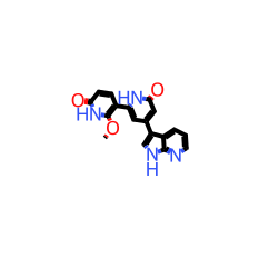 COc1[nH]c(=O)ccc1-c1cc(-c2c[nH]c3ncccc23)cc(=O)[nH]1